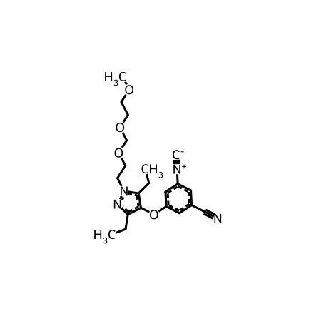 [C-]#[N+]c1cc(C#N)cc(Oc2c(CC)nn(CCOCOCCOC)c2CC)c1